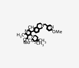 COc1ccc(CN2CCc3cc(-c4c(C)nc(C)c([C@H](OC(C)(C)C)C(=O)O)c4N4CCC(C)(C)CC4)ccc3C2)cn1